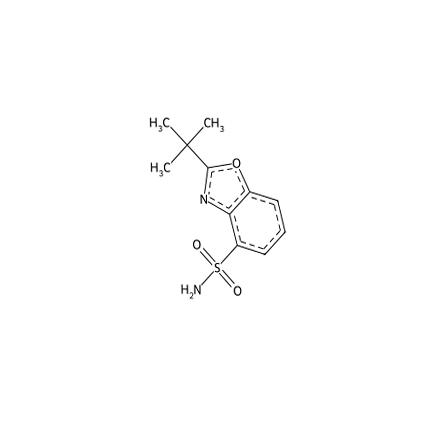 CC(C)(C)c1nc2c(S(N)(=O)=O)cccc2o1